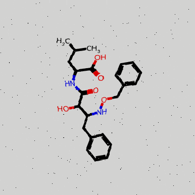 CC(C)CC(NC(=O)C(O)C(Cc1ccccc1)NOCc1ccccc1)C(=O)O